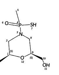 C[C@H]1CN(P(C)(=O)S)C[C@@H](CO)O1